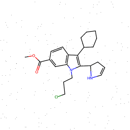 COC(=O)c1ccc2c(C3CCCCC3)c(C3CC=CN3)n(CCCCl)c2c1